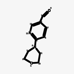 O=[C]c1ccc(N2CCOCC2)nc1